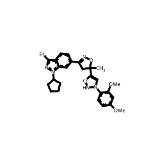 CCc1nn(C2CCCC2)c2cc(C3=NOC(C)(C4=CN(c5ccc(OC)cc5OC)NO4)C3)ccc12